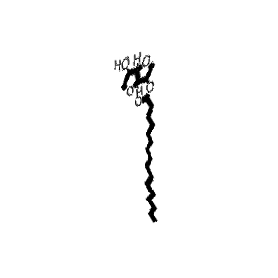 CCCCCCCCCCCCCCCC(=O)O[C@@H]1CO[C@H]2[C@@H]1OC[C@@H]2O